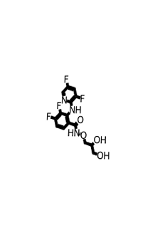 O=C(NOCC(O)CO)c1ccc(F)c(F)c1Nc1ncc(F)cc1F